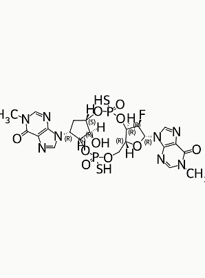 Cn1cnc2c(ncn2[C@@H]2C[C@@H]3OP(=O)(S)O[C@H]4[C@@H](F)[C@H](n5cnc6c(=O)n(C)cnc65)O[C@@H]4COP(=O)(S)O[C@@H]2[C@@H]3O)c1=O